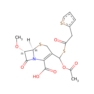 CO[C@H]1C(=O)N2C(C(=O)O)=C(C(OC(C)=O)SC(=O)Cc3cccs3)CS[C@H]12